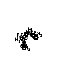 CN(C(=O)C1CN(S(C)(=O)=O)C1)[C@@H](c1ccc(NC2Cc3ccccc3C2(C)C)cc1)C(F)(F)F